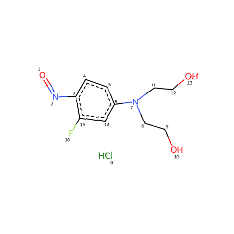 Cl.O=Nc1ccc(N(CCO)CCO)cc1F